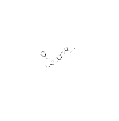 CN(C)CCCN(Cc1ccc(C(=O)Nc2cscc2NC(=O)OC(C)(C)C)nc1)C(=O)NCCc1ccccc1